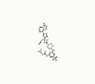 N#CCC1(n2cc(-c3ncnc4[nH]ccc34)cn2)CN([C@H]2CC[C@@H](Oc3cc(CNCC4CC4)nc(C(F)(F)F)n3)CC2)C1